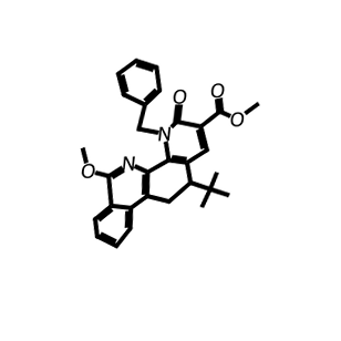 COC(=O)c1cc2c(n(Cc3ccccc3)c1=O)-c1nc(OC)c3ccccc3c1CC2C(C)(C)C